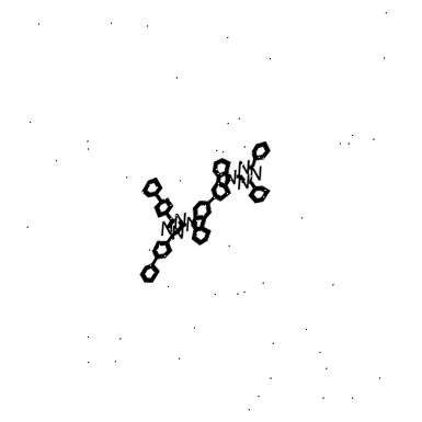 c1ccc(-c2ccc(-c3nc(-c4ccc(-c5ccccc5)cc4)nc(-n4c5ccccc5c5cc(-c6ccc7c(c6)c6ccccc6n7-c6nc(-c7ccccc7)nc(-c7ccccc7)n6)ccc54)n3)cc2)cc1